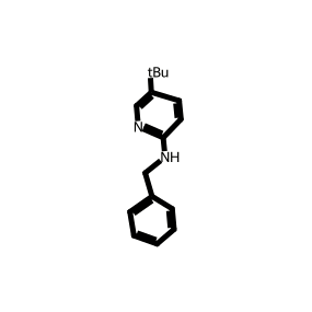 CC(C)(C)c1ccc(NCc2ccccc2)nc1